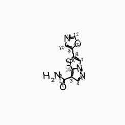 NC(=O)c1cnn2cc(-c3cnco3)sc12